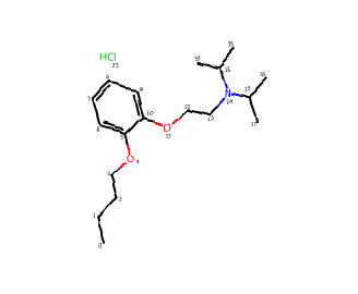 CCCCOc1ccccc1OCCN(C(C)C)C(C)C.Cl